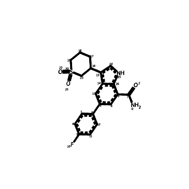 NC(=O)c1cc(-c2ccc(F)cc2)cc2c(C3CCCS(=O)(=O)C3)c[nH]c12